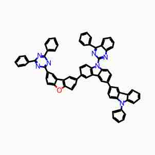 c1ccc(-c2nc(-c3ccccc3)nc(-c3ccc4oc5ccc(-c6ccc7c(c6)c6cc(-c8ccc9c(c8)c8ccccc8n9-c8ccccc8)ccc6n7-c6nc(-c7ccccc7)c7ccccc7n6)cc5c4c3)n2)cc1